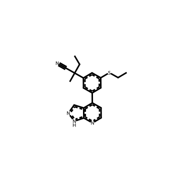 CCSc1cc(-c2ccnc3[nH]ncc23)cc(C(C)(C#N)CC)c1